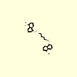 CN(C)c1cccc2c(S(=O)(=O)NCCCCCNS(=O)(=O)c3cccc4c(N(C)C)cccc34)cccc12